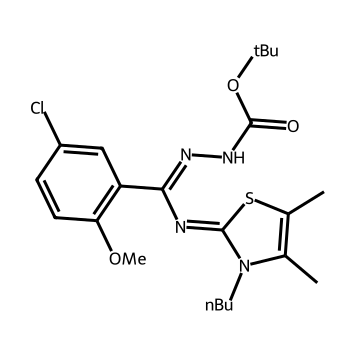 CCCCn1c(C)c(C)sc1=NC(=NNC(=O)OC(C)(C)C)c1cc(Cl)ccc1OC